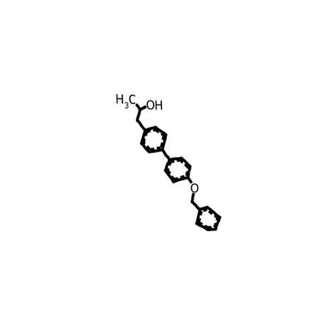 CC(O)Cc1ccc(-c2ccc(OCc3ccccc3)cc2)cc1